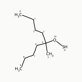 CCCCC(C)(CCCC)OS